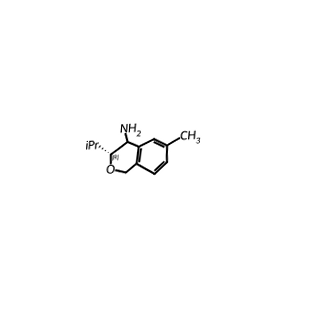 Cc1ccc2c(c1)C(N)[C@@H](C(C)C)OC2